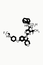 CC(F)(F)c1nc(N2CC3(CCOCC3)c3cc(O[C@H]4CC[C@H](NCC(F)(F)F)CC4)ccc32)ncc1C(=O)NC1(C(=O)O)C2CC3CC(C2)CC1C3